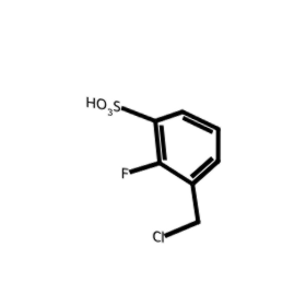 O=S(=O)(O)c1cccc(CCl)c1F